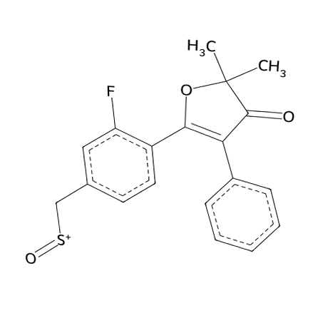 CC1(C)OC(c2ccc(C[S+]=O)cc2F)=C(c2ccccc2)C1=O